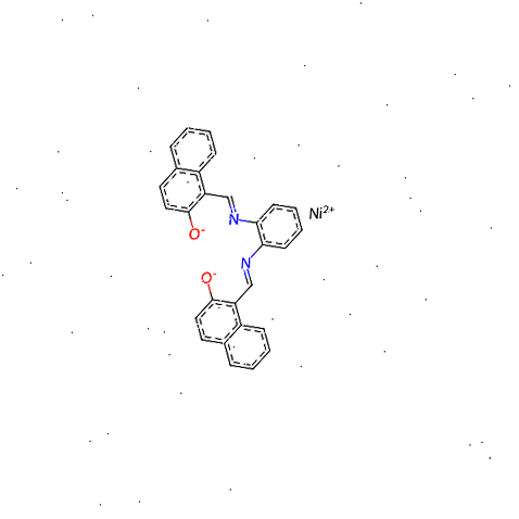 [Ni+2].[O-]c1ccc2ccccc2c1C=Nc1ccccc1N=Cc1c([O-])ccc2ccccc12